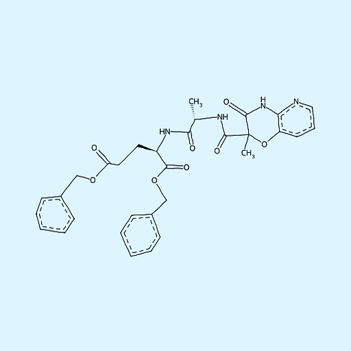 C[C@H](NC(=O)C1(C)Oc2cccnc2NC1=O)C(=O)N[C@H](CCC(=O)OCc1ccccc1)C(=O)OCc1ccccc1